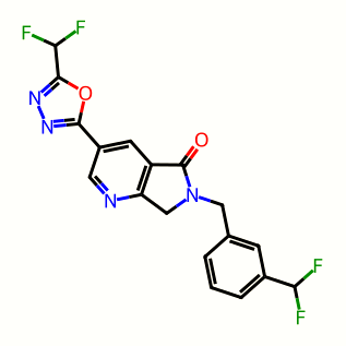 O=C1c2cc(-c3nnc(C(F)F)o3)cnc2CN1Cc1cccc(C(F)F)c1